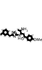 COc1ccc(C(=O)CC(Nc2nc(Cc3cccc(C)c3)ns2)C(C)N)cc1